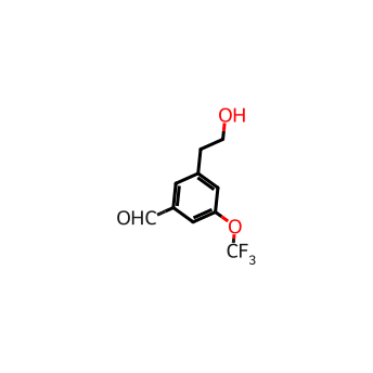 O=Cc1cc(CCO)cc(OC(F)(F)F)c1